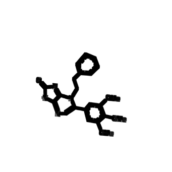 COc1cc(C2=CN=C3[N]C(=O)N=C3N2CCc2ccccc2)cc(OC)c1OC